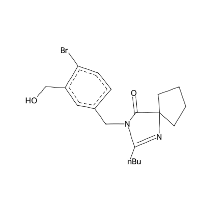 CCCCC1=NC2(CCCC2)C(=O)N1Cc1ccc(Br)c(CO)c1